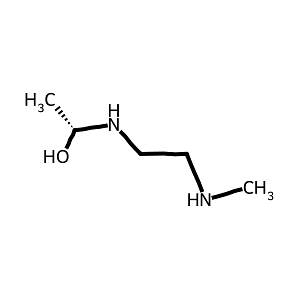 CNCCN[C@@H](C)O